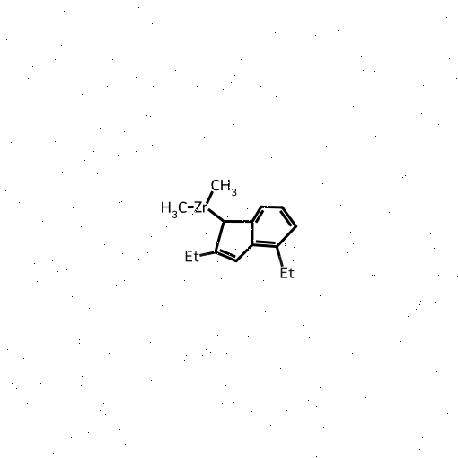 CCC1=Cc2c(CC)cccc2[CH]1[Zr]([CH3])[CH3]